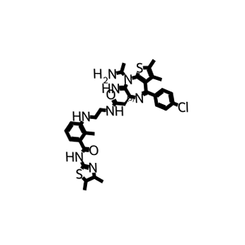 Cc1sc2c(c1C)C(c1ccc(Cl)cc1)=N[C@@H](CC(=O)NCCNc1cccc(C(=O)NC3=NC(C)C(C)S3)c1C)C(=N)N2C(C)N